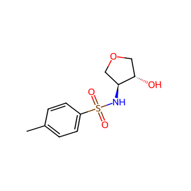 Cc1ccc(S(=O)(=O)N[C@H]2COC[C@@H]2O)cc1